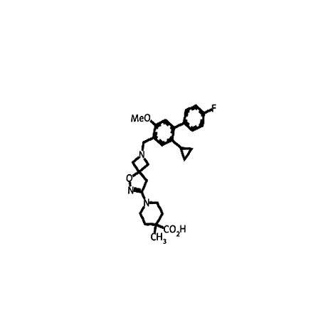 COc1cc(-c2ccc(F)cc2)c(C2CC2)cc1CN1CC2(CC(N3CCC(C)(C(=O)O)CC3)=NO2)C1